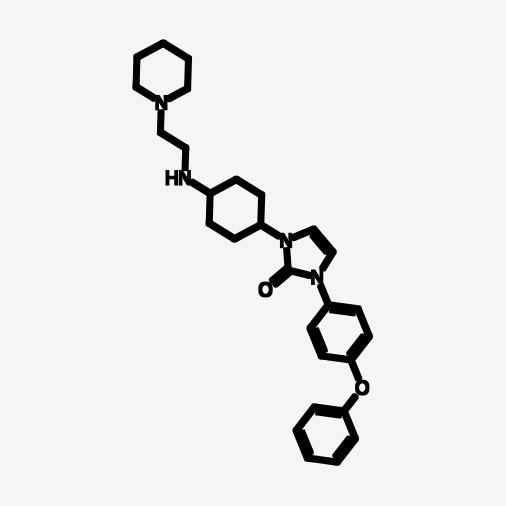 O=c1n(-c2ccc(Oc3ccccc3)cc2)ccn1C1CCC(NCCN2CCCCC2)CC1